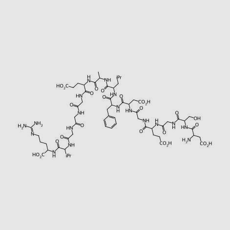 CC(C)CC(NC(=O)C(Cc1ccccc1)NC(=O)C(CC(=O)O)NC(=O)CNC(=O)C(CCC(=O)O)NC(=O)CNC(=O)C(CO)NC(=O)C(N)CC(=O)O)C(=O)NC(C)C(=O)NC(CCC(=O)O)C(=O)NCC(=O)NCC(=O)NCC(=O)NC(C(=O)NC(CCCN=C(N)N)C(=O)O)C(C)C